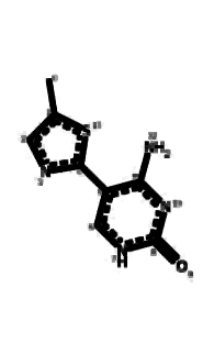 Cc1cnc(-c2c[nH]c(=O)nc2N)s1